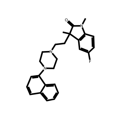 CN1C(=O)C(C)(CCN2CCN(c3cccc4ccccc34)CC2)c2cc(F)ccc21